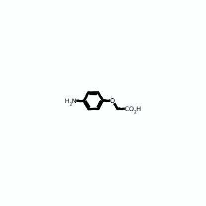 Nc1ccc(OCC(=O)O)cc1